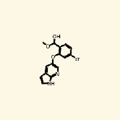 COC(O)c1ccc(Br)cc1Oc1cnc2[nH]ccc2c1